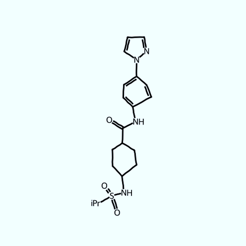 CC(C)S(=O)(=O)NC1CCC(C(=O)Nc2ccc(-n3cccn3)cc2)CC1